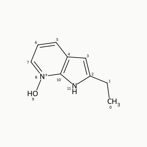 CCc1cc2ccc[n+](O)c2[nH]1